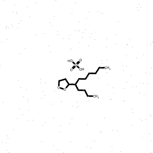 CCCCCCC(CCCC)C1CCOO1.O=S(=O)(O)O